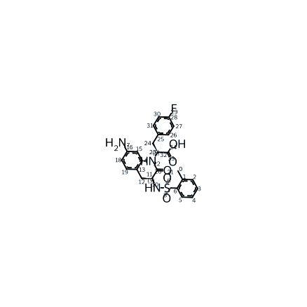 Cc1ccccc1S(=O)(=O)N[C@@H](Cc1ccc(N)cc1)C(=O)N[C@@H](Cc1ccc(F)cc1)C(=O)O